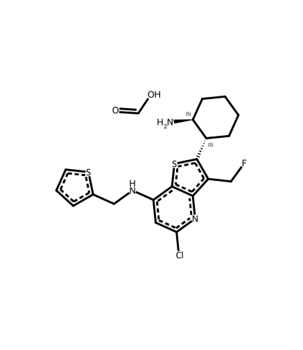 N[C@H]1CCCC[C@@H]1c1sc2c(NCc3cccs3)cc(Cl)nc2c1CF.O=CO